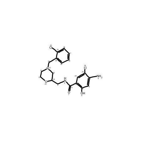 Nc1cc(O)c(C(=O)NCC2CN(Cc3ccccc3Cl)CCO2)cc1Cl